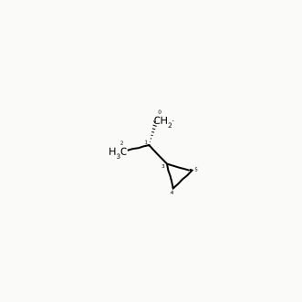 [CH2][C@@H](C)C1CC1